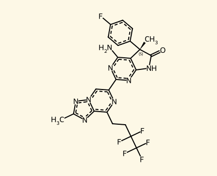 Cc1nc2c(CCC(F)(F)C(F)(F)F)nc(-c3nc(N)c4c(n3)NC(=O)[C@@]4(C)c3ccc(F)cc3)cn2n1